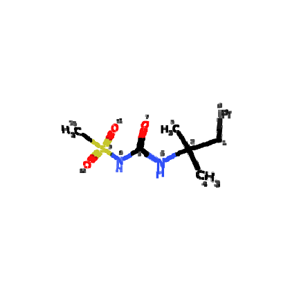 CC(C)CC(C)(C)NC(=O)NS(C)(=O)=O